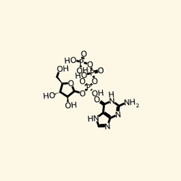 Nc1nc2nc[nH]c2c(=O)[nH]1.O=P(O)(O)OP(=O)(O)OP(=O)(O)OC1O[C@H](CO)[C@@H](O)[C@@H]1O